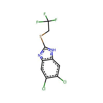 FC(F)(F)CSc1nc2cc(Cl)c(Cl)cc2[nH]1